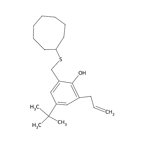 C=CCc1cc(C(C)(C)C)cc(CSC2CCCCCCC2)c1O